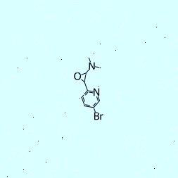 CN(C)C1OC1c1ccc(Br)cn1